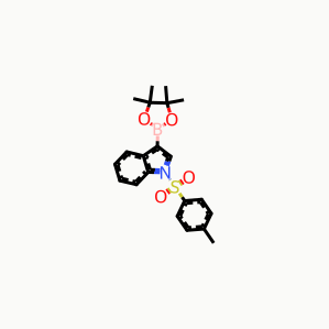 Cc1ccc(S(=O)(=O)n2cc(B3OC(C)(C)C(C)(C)O3)c3ccccc32)cc1